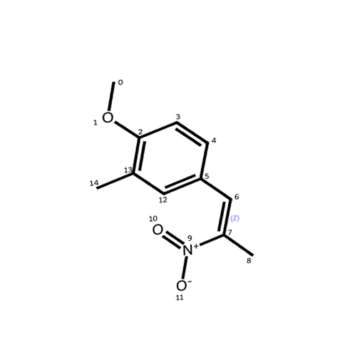 COc1ccc(/C=C(/C)[N+](=O)[O-])cc1C